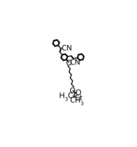 CCC(C)(C)C(=O)OCCCCCCCCOc1ccc(/C=C(\C#N)c2ccccc2)cc1/C=C(\C#N)c1ccccc1